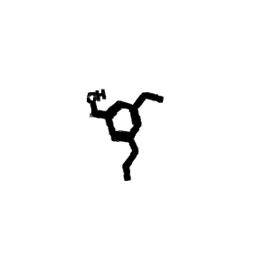 CCCc1cc([CH]O)cc(CC)c1